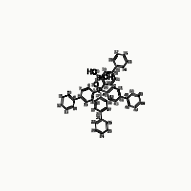 OB(O)OP(c1ccc(-c2ccccc2)cc1)(c1ccc(-c2ccccc2)cc1)(c1ccc(-c2ccccc2)cc1)c1ccc(-c2ccccc2)cc1